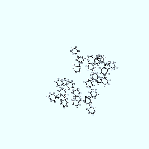 C1=CC(c2nc(-c3ccccc3)nc(C3CCc4ccccc4-c4cc(-c5cc(-c6cccc(-c7cccc(-c8nc(-c9ccccc9)nc(-n9c%10ccccc%10c%10cc(C%11=CC=C%12Oc%13cccc(-c%14ccc%15c%16ccccc%16n(-c%16ccccc%16)c%15c%14)c%13C%12C%11)ccc%109)n8)c7)c6)c6oc7cccc(-c8ccc9c(c8)c8ccccc8n9-c8ccccc8)c7c6c5)ccc43)n2)=CCC1